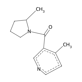 Cc1ccncc1C(=O)N1CCCC1C